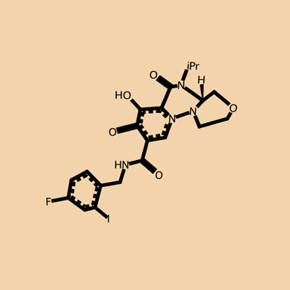 CC(C)N1C(=O)c2c(O)c(=O)c(C(=O)NCc3ccc(F)cc3I)cn2N2CCOC[C@@H]12